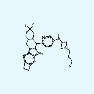 CC1Cc2c([nH]c3cc4c(cc23)CC4)C(c2ccc(NC3CN(CCCF)C3)cn2)N1CC(F)(F)F